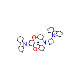 c1cc(N2c3cccc4c3B3c5c(cc(-n6c7ccccc7c7ccccc76)cc5Oc5cccc2c53)O4)cc(-n2c3ccccc3c3ccccc32)c1